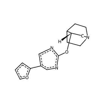 c1coc(-c2cnc(O[C@H]3CN4CCC3CC4)nc2)c1